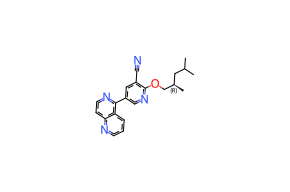 CC(C)C[C@@H](C)COc1ncc(-c2nccc3ncccc23)cc1C#N